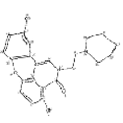 O=c1c2c(O)ccc3c2c(cn1CCN1CCCCC1)-c1cc(O)ccc1O3